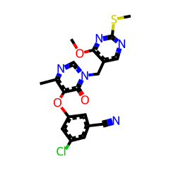 COc1nc(SC)ncc1Cn1cnc(C)c(Oc2cc(Cl)cc(C#N)c2)c1=O